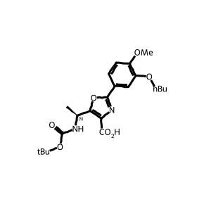 CCCCOc1cc(-c2nc(C(=O)O)c([C@H](C)NC(=O)OC(C)(C)C)o2)ccc1OC